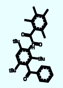 Cc1cc(C)c(C(=O)[PH](=O)c2c(C(C)(C)C)cc(C(C)(C)C)c(C(=O)c3ccccc3)c2C(C)(C)C)c(C)c1C